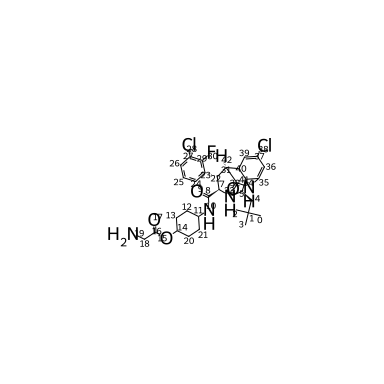 CC(C)(C)C[C@H]1N[C@@H](C(=O)NC2CCC(OC(=O)CN)CC2)[C@H](c2cccc(Cl)c2F)[C@@H]2C(=O)NC3=CC(Cl)=CC2C31